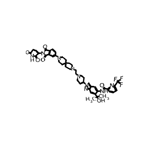 CC(C)(O)c1cc2nn(C3CCN(CCN4CCC5(CC4)CCN(c4ccc6c(c4)C(=O)N(C4CCC(=O)NC4=O)C6=O)CC5)CC3)cc2cc1NC(=O)c1cccc(C(F)(F)F)n1